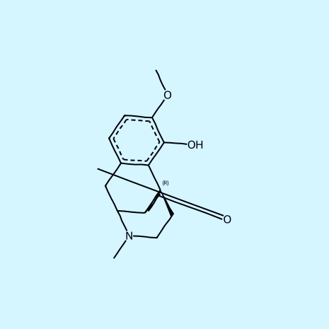 COc1ccc2c(c1O)[C@@]13CCN(C)C(C2)C1CCC(=O)C3